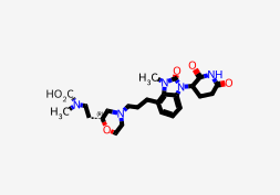 CN(CC[C@@H]1CN(CCCc2cccc3c2n(C)c(=O)n3C2CCC(=O)NC2=O)CCO1)C(=O)O